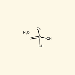 O.O=[P](O)(O)[Zn]